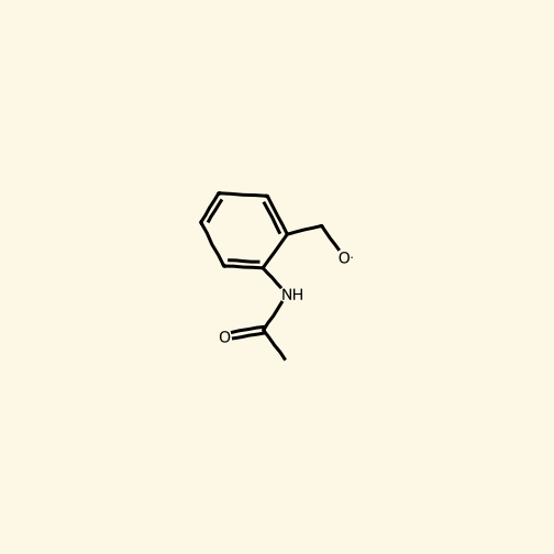 CC(=O)Nc1ccccc1C[O]